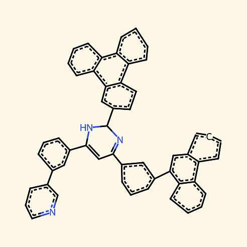 C1=C(c2cccc(-c3cccnc3)c2)NC(c2ccc3c4ccccc4c4ccccc4c3c2)N=C1c1cccc(-c2cc3ccccc3c3ccccc23)c1